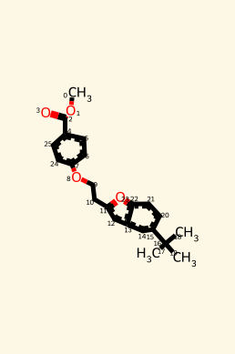 COC(=O)c1ccc(OCCc2cc3cc(C(C)(C)C)ccc3o2)cc1